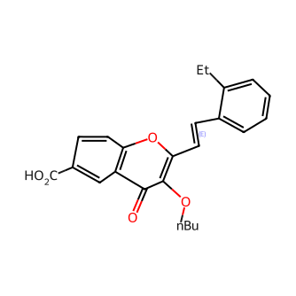 CCCCOc1c(/C=C/c2ccccc2CC)oc2ccc(C(=O)O)cc2c1=O